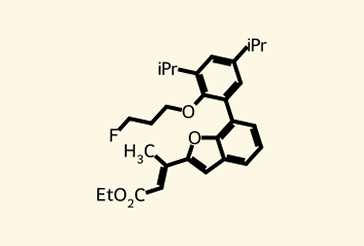 CCOC(=O)C=C(C)c1cc2cccc(-c3cc(C(C)C)cc(C(C)C)c3OCCCF)c2o1